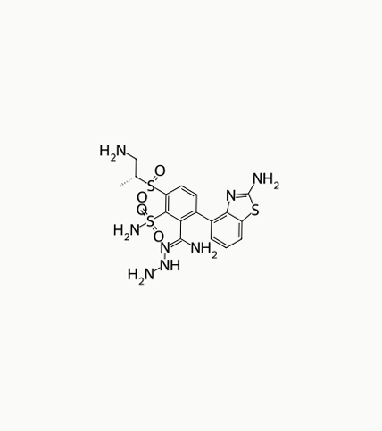 C[C@H](CN)S(=O)(=O)c1ccc(-c2cccc3sc(N)nc23)c(/C(N)=N/NN)c1S(N)(=O)=O